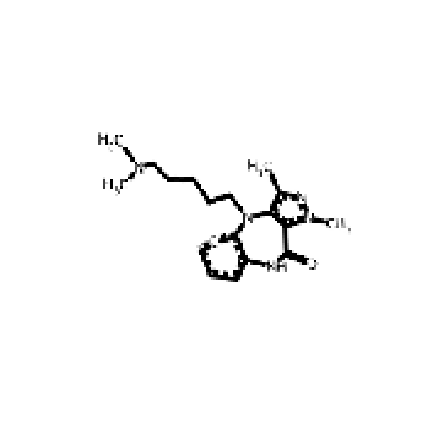 Cc1nn(C)c2c1N(CCCCCN(C)C)c1ccccc1NC2=O